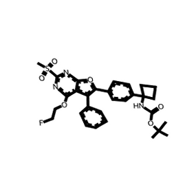 CC(C)(C)OC(=O)NC1(c2ccc(-c3oc4nc(S(C)(=O)=O)nc(OCCF)c4c3-c3ccccc3)cc2)CCC1